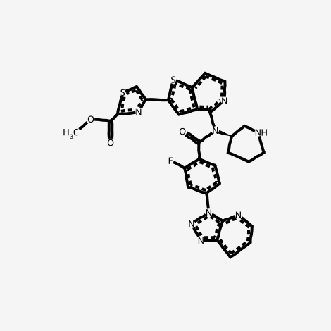 COC(=O)c1nc(-c2cc3c(N(C(=O)c4ccc(-n5nnc6cccnc65)cc4F)[C@@H]4CCCNC4)nccc3s2)cs1